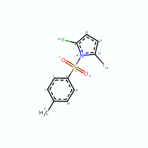 Cc1ccc(S(=O)(=O)n2c(F)ccc2I)cc1